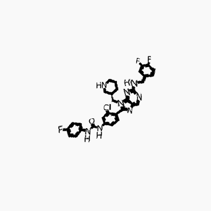 O=C(Nc1ccc(F)cc1)Nc1ccc(-c2nc3cnc(NCc4ccc(F)c(F)c4)nc3n2C[C@@H]2CCCNC2)c(Cl)c1